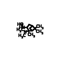 CN(C)C1(C)C(NO)CC2CC1C2(C)C